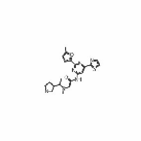 Cc1ccc(-c2nc(NC(=O)CN(C)C(C)C3CCNC3)cc(-c3nccs3)n2)o1